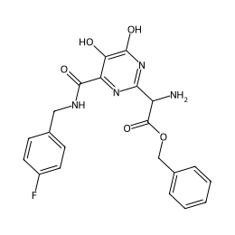 NC(C(=O)OCc1ccccc1)c1nc(O)c(O)c(C(=O)NCc2ccc(F)cc2)n1